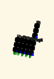 CCCCCCC[C@H]1CC[C@H](c2ccc(-c3ccc(F)nc3)cc2)CC1.CCCCCC[C@H]1CC[C@H](c2ccc(-c3ccc(F)nc3)cc2)CC1.CCCC[C@H]1CC[C@H](c2ccc(-c3ccc(F)nc3)cc2)CC1.CCC[C@H]1CC[C@H](c2ccc(-c3ccc(F)nc3)cc2)CC1.CC[C@H]1CC[C@H](c2ccc(-c3ccc(Cl)nc3)cc2)CC1.CC[C@H]1CC[C@H](c2ccc(-c3ccc(F)nc3)cc2)CC1